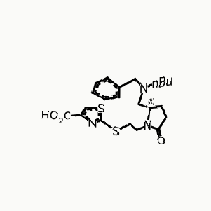 CCCCN(Cc1ccccc1)C[C@H]1CCC(=O)N1CCSc1nc(C(=O)O)cs1